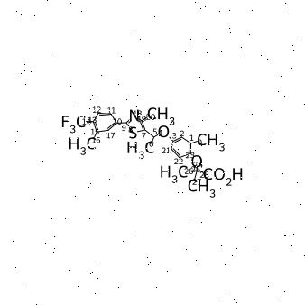 Cc1cc(OC(C)c2sc(-c3ccc(C(F)(F)F)c(C)c3)nc2C)ccc1OC(C)(C)C(=O)O